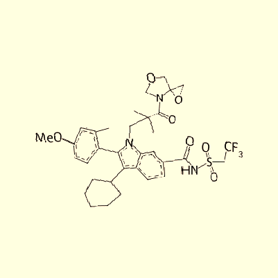 COc1ccc(-c2c(C3CCCCC3)c3ccc(C(=O)NS(=O)(=O)CC(F)(F)F)cc3n2CC(C)(C)C(=O)N2COCC23CO3)c(C)c1